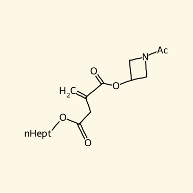 C=C(CC(=O)OCCCCCCC)C(=O)OC1CN(C(C)=O)C1